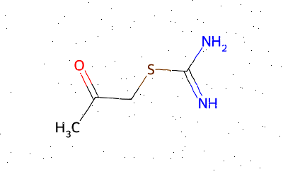 CC(=O)CSC(=N)N